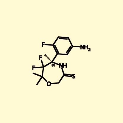 CC1(C)OCC(=S)N[C@](C)(c2cc(N)ccc2F)C1(F)F